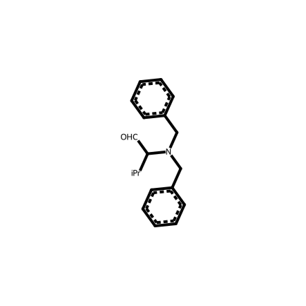 CC(C)C(C=O)N(Cc1ccccc1)Cc1ccccc1